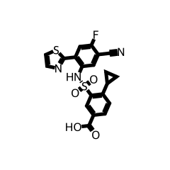 N#Cc1cc(NS(=O)(=O)c2cc(C(=O)O)ccc2C2CC2)c(-c2nccs2)cc1F